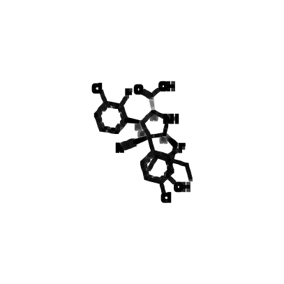 CCC(CC)(CO)C[C@@H]1N[C@@H](C(=O)O)[C@H](c2cccc(Cl)c2F)[C@@]1(C#N)c1ccc(Cl)cc1F